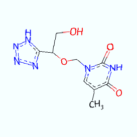 Cc1cn(COC(CO)c2nnn[nH]2)c(=O)[nH]c1=O